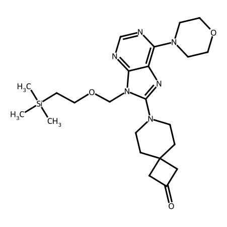 C[Si](C)(C)CCOCn1c(N2CCC3(CC2)CC(=O)C3)nc2c(N3CCOCC3)ncnc21